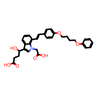 O=C(O)CCC(O)c1cn(CC(=O)O)c2c(/C=C/c3ccc(OCCCCOc4ccccc4)cc3)cccc12